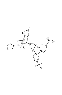 CC[C@H]1CN(C(=O)[C@]2(F)CN(C3CCCC3)C[C@H]2c2ccc(F)cn2)C[C@@H]1c1ccc(C(F)(F)F)cc1N1CCC(C(=O)O)CC1